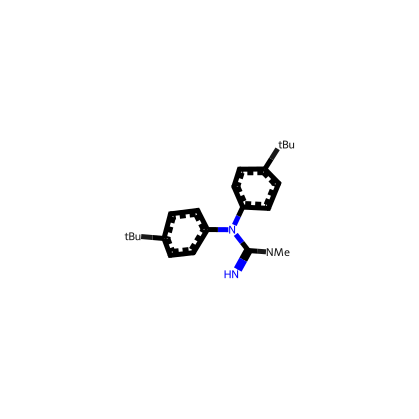 CNC(=N)N(c1ccc(C(C)(C)C)cc1)c1ccc(C(C)(C)C)cc1